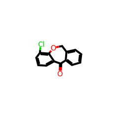 O=C1c2ccccc2COc2c(Cl)cccc21